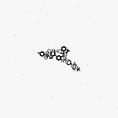 Cc1ccc(S(=O)(=O)n2ccc3c(-c4ccc5nc(N6CCC(N7C[C@@H](C)N(C(C)(C)C)C[C@@H]7C)CC6)nc(C(CO)(OC6CC6)c6ccccc6)c5c4)cn(C)c(=O)c32)cc1